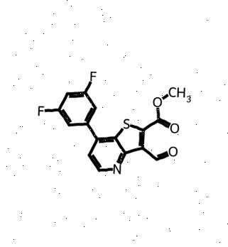 COC(=O)c1sc2c(-c3cc(F)cc(F)c3)ccnc2c1C=O